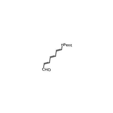 CCCCCC=CC=CC=CC=O